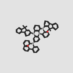 CC1(C)c2ccccc2-c2ccc(N3c4cc(N(c5ccccc5)c5ccccc5-c5ccccc5)ccc4B4c5ccccc5N(c5cccc6c5C(C)(C)c5ccccc5-6)c5cccc3c54)cc21